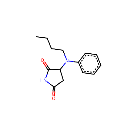 CCCCN(c1ccccc1)C1CC(=O)NC1=O